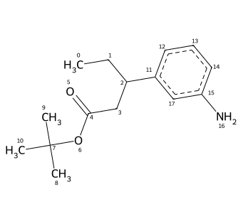 CCC(CC(=O)OC(C)(C)C)c1cccc(N)c1